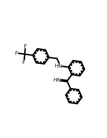 N=C(c1ccccc1)c1ccccc1NCc1ccc(C(F)(F)F)cc1